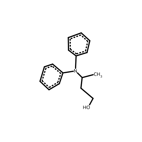 CC(CCO)N(c1ccccc1)c1ccccc1